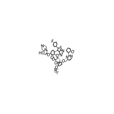 COc1ccccc1-c1nccc(COc2ccc(O[Si](C)(C)C(C)(C)C)cc2C[C@@H](Oc2ncnc3sc(-c4ccc(F)cc4)c(-c4ccc(O[C@@H](CO)CN5CCN(C)CC5)c(Cl)c4C)c23)C(=O)O)n1